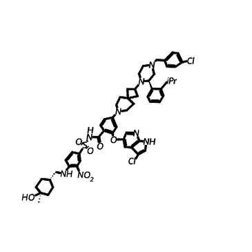 CC(C)c1ccccc1[C@@H]1CN(Cc2ccc(Cl)cc2)CCN1C1CC2(CCN(c3ccc(C(=O)NS(=O)(=O)c4ccc(NC[C@H]5CC[C@](C)(O)CC5)c([N+](=O)[O-])c4)c(Oc4cnc5[nH]cc(Cl)c5c4)c3)CC2)C1